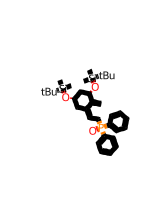 C=C1/C(=C\CP(=O)(c2ccccc2)c2ccccc2)C[C@H](O[Si](C)(C)C(C)(C)C)C[C@H]1O[Si](C)(C)C(C)(C)C